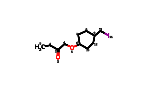 CCC(=O)COC1CCC(CI)CC1